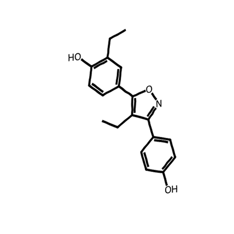 CCc1cc(-c2onc(-c3ccc(O)cc3)c2CC)ccc1O